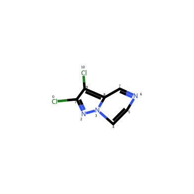 Clc1nn2ccncc2c1Cl